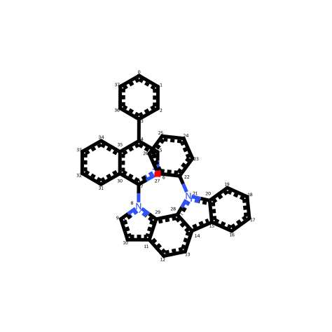 c1ccc(-c2cnc(-n3ccc4ccc5c6ccccc6n(-c6ccccc6)c5c43)c3ccccc23)cc1